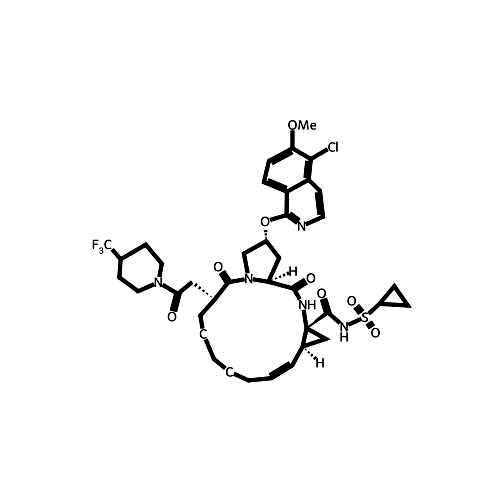 COc1ccc2c(O[C@@H]3C[C@H]4C(=O)N[C@]5(C(=O)NS(=O)(=O)C6CC6)C[C@H]5/C=C\CCCCC[C@H](CC(=O)N5CCC(C(F)(F)F)CC5)C(=O)N4C3)nccc2c1Cl